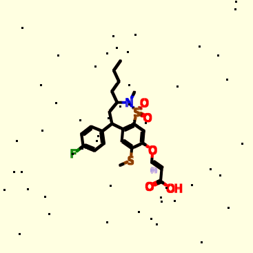 CCCCC1CC(c2ccc(F)cc2)c2cc(SC)c(O/C=C/C(=O)O)cc2S(=O)(=O)N1C